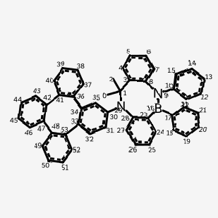 CC1(C)c2ccccc2N(c2ccccc2)B(c2ccccc2)c2ccccc2N1c1ccc2c(c1)-c1ccccc1-c1ccccc1-c1ccccc1-2